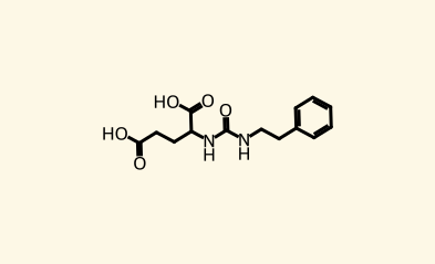 O=C(O)CCC(NC(=O)NCCc1ccccc1)C(=O)O